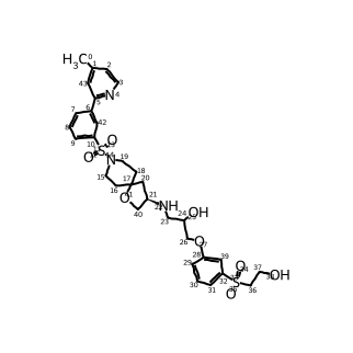 Cc1ccnc(-c2cccc(S(=O)(=O)N3CCC4(CC3)C[C@@H](NCC(O)COc3cccc(S(=O)(=O)CCO)c3)CO4)c2)c1